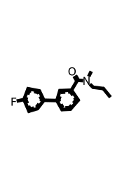 CCCN(C)C(=O)c1cccc(-c2ccc(F)cc2)c1